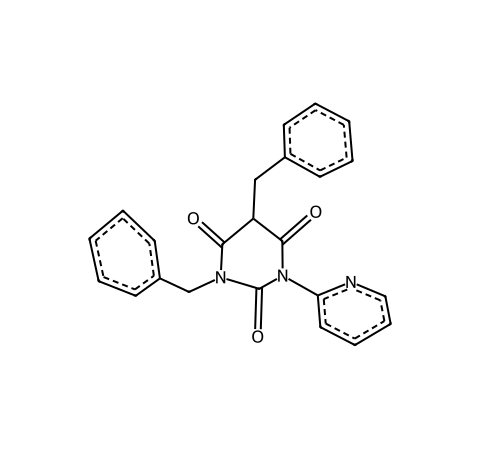 O=C1C(Cc2ccccc2)C(=O)N(c2ccccn2)C(=O)N1Cc1ccccc1